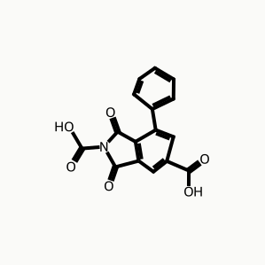 O=C(O)c1cc2c(c(-c3ccccc3)c1)C(=O)N(C(=O)O)C2=O